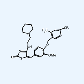 COc1cc(C=C2SC(=O)N=C2NCCN2CCCCC2)ccc1OCc1ccc(C(F)(F)F)cc1C(F)(F)F